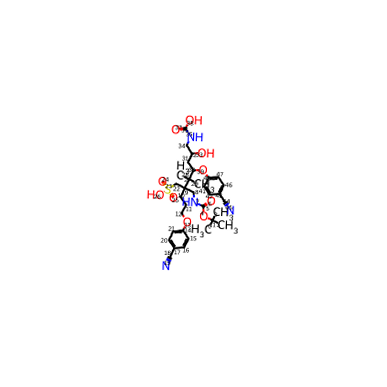 CC(C)(C)OC(=O)NCC(CCCOc1ccc(C#N)cc1)(CS(=O)(=O)O)C(C)(C)C(CC(O)CNC(=O)O)Oc1ccc(C#N)cc1